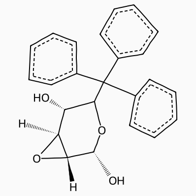 O[C@@H]1C(C(c2ccccc2)(c2ccccc2)c2ccccc2)O[C@H](O)[C@@H]2O[C@H]21